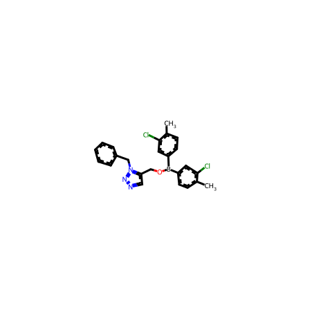 Cc1ccc(B(OCc2cnnn2Cc2ccccc2)c2ccc(C)c(Cl)c2)cc1Cl